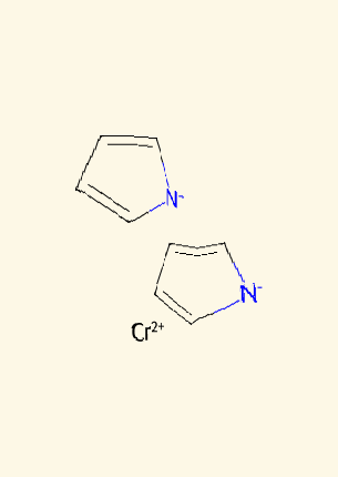 [Cr+2].c1cc[n-]c1.c1cc[n-]c1